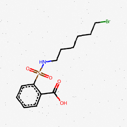 O=C(O)c1ccccc1S(=O)(=O)NCCCCCCBr